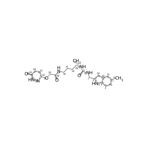 Cc1ccc2[nH]c(CNC(=O)N[C@@H](C)CCCNC(=O)COc3ccc(=O)[nH]n3)cc2c1